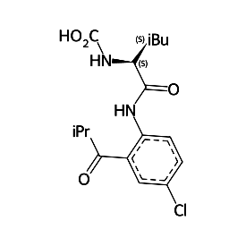 CC[C@H](C)[C@H](NC(=O)O)C(=O)Nc1ccc(Cl)cc1C(=O)C(C)C